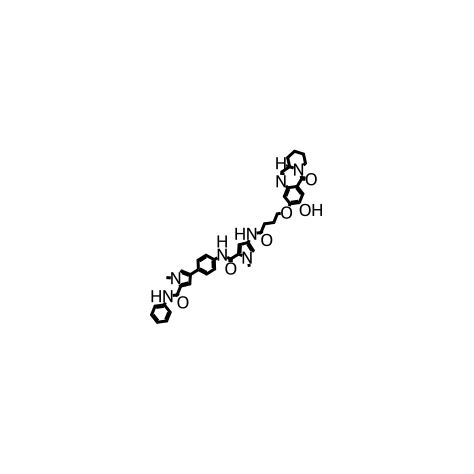 Cn1cc(NC(=O)CCCOc2cc3c(cc2O)C(=O)N2CCCC[C@H]2C=N3)cc1C(=O)Nc1ccc(-c2cc(C(=O)Nc3ccccc3)n(C)c2)cc1